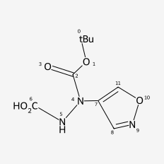 CC(C)(C)OC(=O)N(NC(=O)O)c1cnoc1